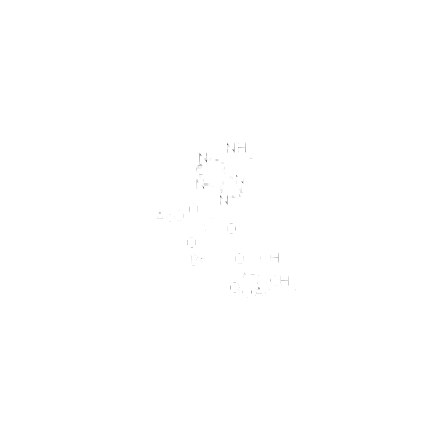 CC(=O)OOC1C(OBr)[C@@H](COC(=O)C(C)(C)OC(C)=O)O[C@H]1n1cnc2c(N)ncnc21